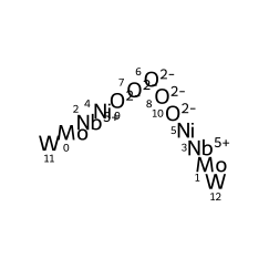 [Mo].[Mo].[Nb+5].[Nb+5].[Ni].[Ni].[O-2].[O-2].[O-2].[O-2].[O-2].[W].[W]